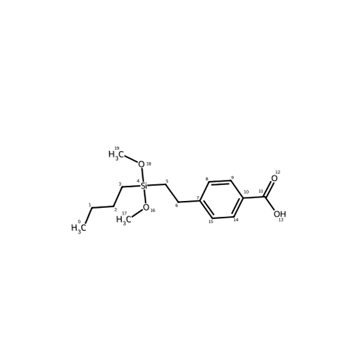 CCCC[Si](CCc1ccc(C(=O)O)cc1)(OC)OC